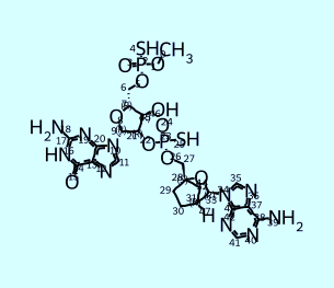 COP(=O)(S)OC[C@H]1O[C@@H](n2cnc3c(=O)[nH]c(N)nc32)[C@H](OP(=O)(S)OC[C@]23CC[C@H](C2)[C@H](n2cnc4c(N)ncnc42)O3)[C@@H]1O